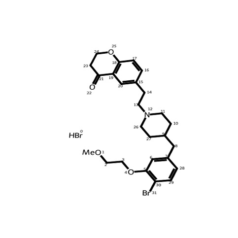 Br.COCCOc1cc(CC2CCN(CCc3ccc4c(c3)C(=O)CCO4)CC2)ccc1Br